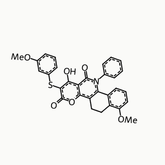 COc1cccc(Sc2c(O)c3c(=O)n(-c4ccccc4)c4c(c3oc2=O)CCc2c(OC)cccc2-4)c1